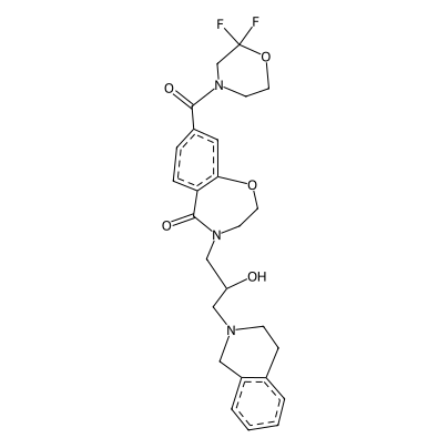 O=C(c1ccc2c(c1)OCCN(CC(O)CN1CCc3ccccc3C1)C2=O)N1CCOC(F)(F)C1